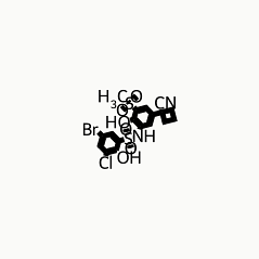 CS(=O)(=O)c1cc(C2(C#N)CCC2)cc(NS(=O)(=O)c2cc(Br)cc(Cl)c2O)c1O